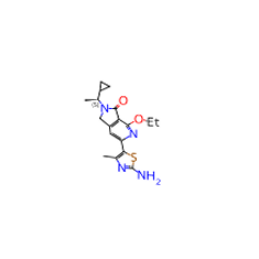 CCOc1nc(-c2sc(N)nc2C)cc2c1C(=O)N([C@@H](C)C1CC1)C2